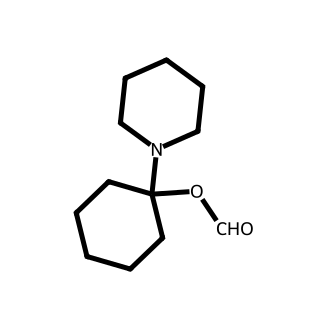 O=COC1(N2CCCCC2)CCCCC1